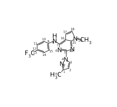 Cc1ccn(-c2nc(Nc3ccc(C(F)(F)F)cc3)c3ccn(C)c3n2)n1